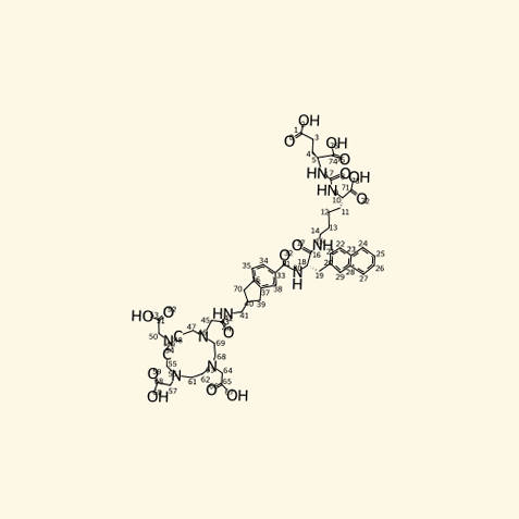 O=C(O)CC[C@H](NC(=O)N[C@@H](CCCCNC(=O)[C@H](Cc1ccc2ccccc2c1)NC(=O)c1ccc2c(c1)CC(CNC(=O)CN1CCN(CC(=O)O)CCN(CC(=O)O)CCN(CC(=O)O)CC1)C2)C(=O)O)C(=O)O